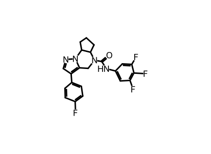 O=C(Nc1cc(F)c(F)c(F)c1)N1Cc2c(-c3ccc(F)cc3)cnn2C2CCCC21